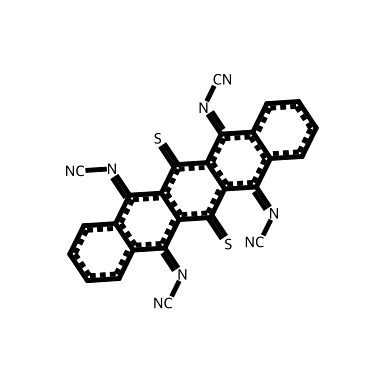 N#CN=c1c2ccccc2c(=NC#N)c2c(=S)c3c(=NC#N)c4ccccc4c(=NC#N)c3c(=S)c12